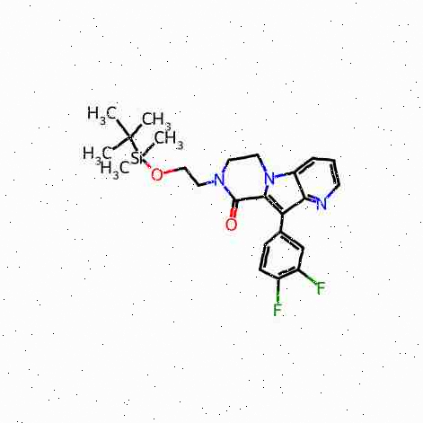 CC(C)(C)[Si](C)(C)OCCN1CCn2c(c(-c3ccc(F)c(F)c3)c3ncccc32)C1=O